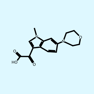 Cn1cc(C(=O)C(=O)O)c2ccc(N3CCOCC3)cc21